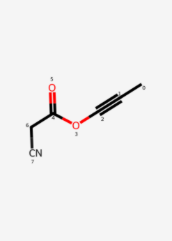 CC#COC(=O)CC#N